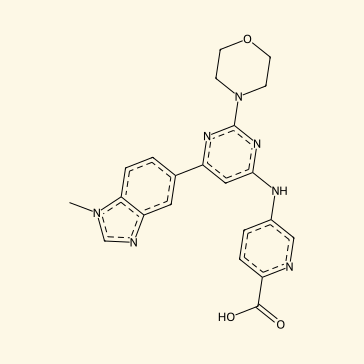 Cn1cnc2cc(-c3cc(Nc4ccc(C(=O)O)nc4)nc(N4CCOCC4)n3)ccc21